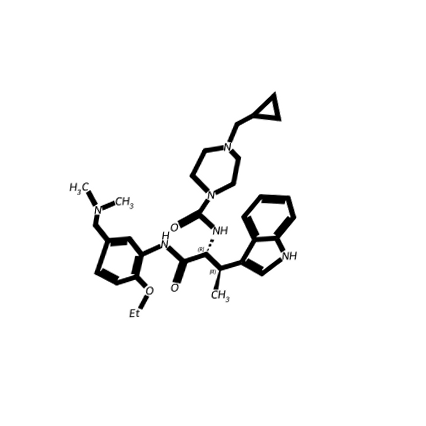 CCOc1ccc(CN(C)C)cc1NC(=O)[C@H](NC(=O)N1CCN(CC2CC2)CC1)[C@H](C)c1c[nH]c2ccccc12